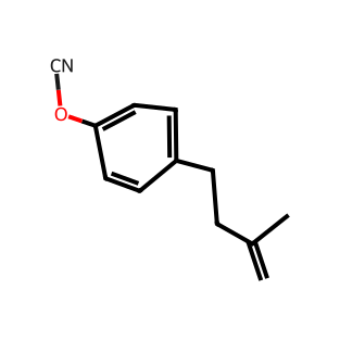 C=C(C)CCc1ccc(OC#N)cc1